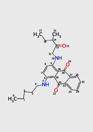 CCCCCNc1ccc(NCC(=O)C(C)CC)c2c1C(=O)c1ccccc1C2=O